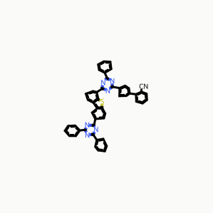 N#Cc1ccccc1-c1ccc(-c2nc(-c3ccccc3)nc(-c3cccc4c3sc3ccc(-c5nc(-c6ccccc6)nc(-c6ccccc6)n5)cc34)n2)cc1